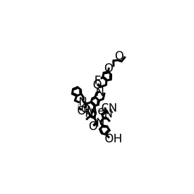 COC[C@@H]1Cc2ccccc2CN1C(=O)c1cc2c(cc1-c1cc(C(=O)N(c3ccc(O)cc3)c3cc(C#N)n(C)c3C)c(C)n1C)CCN(C(=O)Cc1ccc(OCCC3CCO3)cc1F)C2